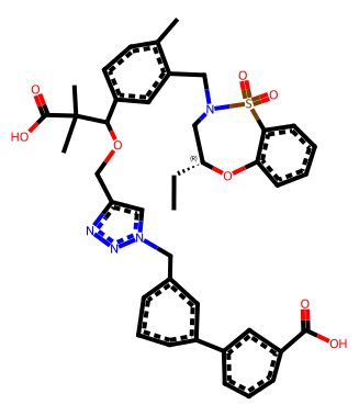 CC[C@@H]1CN(Cc2cc(C(OCc3cn(Cc4cccc(-c5cccc(C(=O)O)c5)c4)nn3)C(C)(C)C(=O)O)ccc2C)S(=O)(=O)c2ccccc2O1